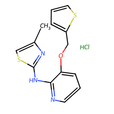 Cc1csc(Nc2ncccc2OCc2cccs2)n1.Cl